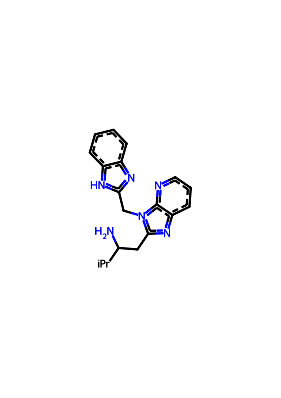 CC(C)C(N)Cc1nc2cccnc2n1Cc1nc2ccccc2[nH]1